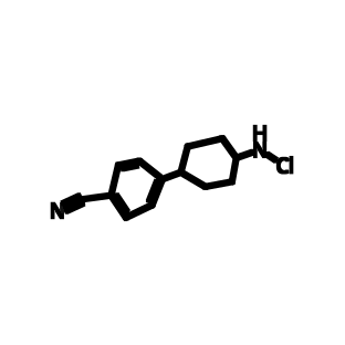 N#Cc1ccc(C2CCC(NCl)CC2)cc1